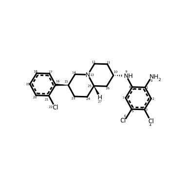 Nc1cc(Cl)c(Cl)cc1N[C@H]1CCN2C[C@H](c3ccccc3Cl)CC[C@H]2C1